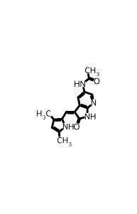 CC(=O)Nc1cnc2c(c1)C(=Cc1[nH]c(C)cc1C)C(=O)N2